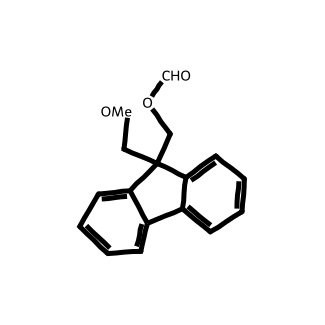 COCC1(COC=O)c2ccccc2-c2ccccc21